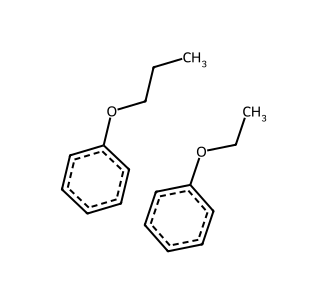 CCCOc1ccccc1.CCOc1ccccc1